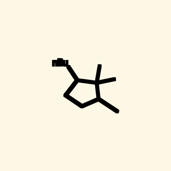 CCCCC1CCC(C)C1(C)C